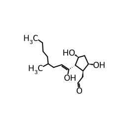 CCCCC(C)CC=C(O)[C@H]1[C@H](CC=O)[C@H](O)C[C@@H]1O